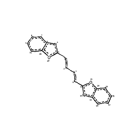 C(=N\N=C\c1nc2ccccc2o1)/c1nc2ccccc2o1